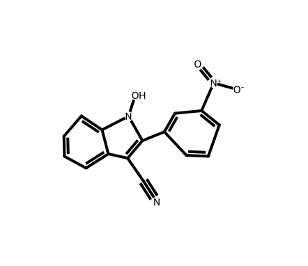 N#Cc1c(-c2cccc([N+](=O)[O-])c2)n(O)c2ccccc12